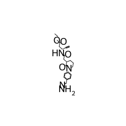 C#C[C@H](CC(=O)OCC)NC(=O)CC1CCCN(c2ccc(C=NN)cc2)C1=O